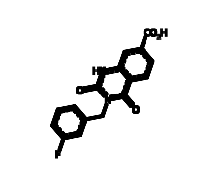 O=C(O)c1ccc2c(=O)n(Cc3cccc(F)c3)c(=O)[nH]c2c1